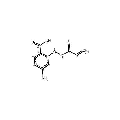 C=CC(=O)OOc1cc(N)ccc1C(=O)O